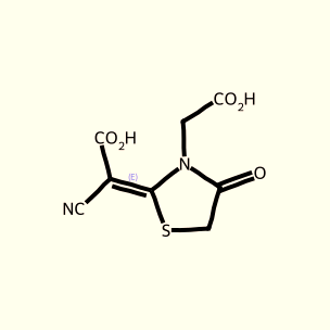 N#C/C(C(=O)O)=C1\SCC(=O)N1CC(=O)O